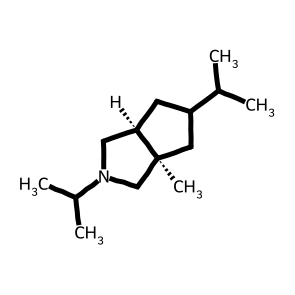 CC(C)C1C[C@@H]2CN(C(C)C)C[C@]2(C)C1